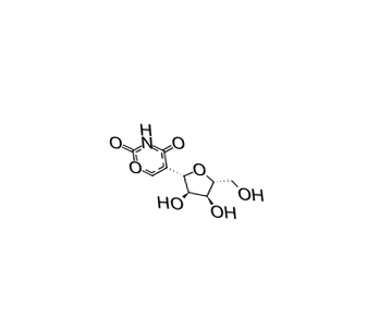 O=c1[nH]c(=O)c([C@@H]2O[C@H](CO)[C@@H](O)[C@H]2O)co1